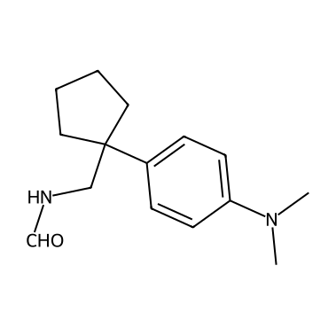 CN(C)c1ccc(C2(CNC=O)CCCC2)cc1